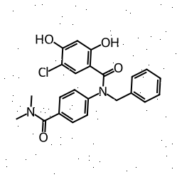 CN(C)C(=O)c1ccc(N(Cc2ccccc2)C(=O)c2cc(Cl)c(O)cc2O)cc1